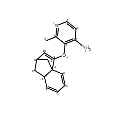 Cc1nccc(N)c1OC1=CC2CC3C=CC=CC13C2